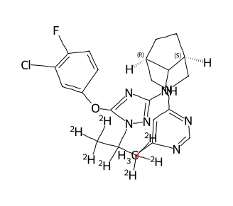 [2H]C([2H])([2H])C([2H])(n1nc(NC2[C@@H]3CC[C@H]2CN(c2cc(C)ncn2)C3)nc1Oc1ccc(F)c(Cl)c1)C([2H])([2H])[2H]